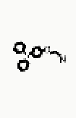 N#CCCOc1ccc([S+](c2ccccc2)c2ccccc2)cc1